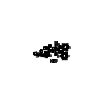 CC(C)(ON=C(C(=O)Cl)c1csc(NC(=O)CCl)n1)C(=O)OC(c1ccccc1)c1ccccc1.Cl